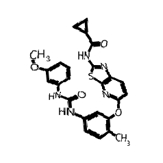 COc1cccc(NC(=O)Nc2ccc(C)c(Oc3ccc4nc(NC(=O)C5CC5)sc4n3)c2)c1